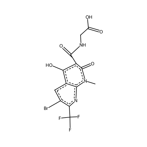 Cn1c(=O)c(C(=O)NCC(=O)O)c(O)c2cc(Br)c(C(F)(F)F)nc21